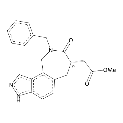 COC(=O)C[C@@H]1Cc2ccc3[nH]ncc3c2CN(Cc2ccccc2)C1=O